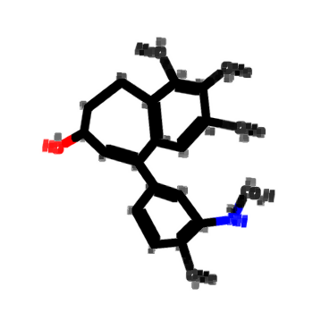 COc1ccc(C2=CC(O)CCc3c2cc(OC)c(OC)c3OC)cc1NC(=O)O